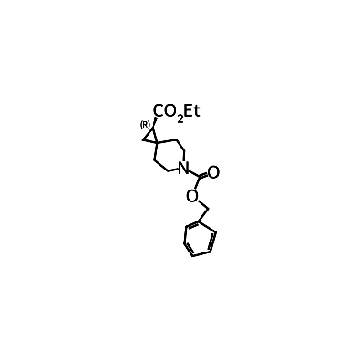 CCOC(=O)[C@@H]1CC12CCN(C(=O)OCc1ccccc1)CC2